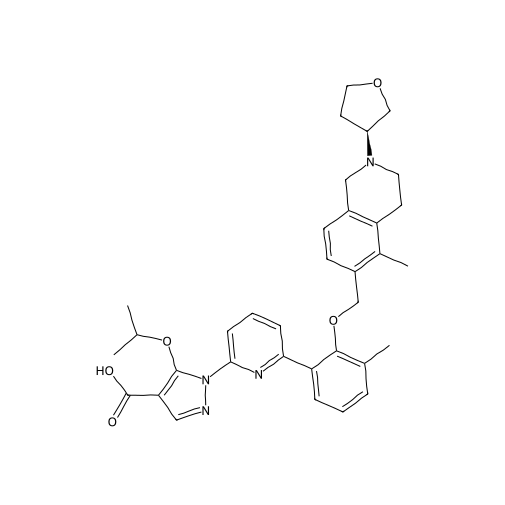 Cc1cccc(-c2cccc(-n3ncc(C(=O)O)c3OC(C)C)n2)c1OCc1ccc2c(c1C)CCN([C@H]1CCOC1)C2